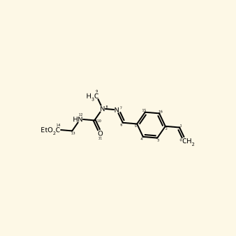 C=Cc1ccc(C=NN(C)C(=O)NCC(=O)OCC)cc1